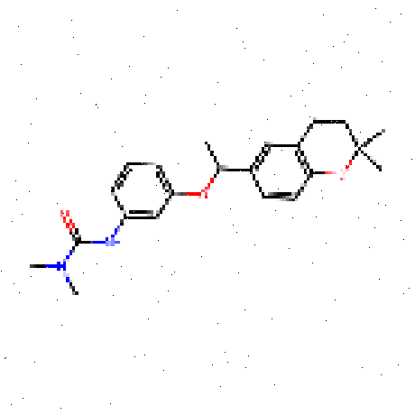 CC(Oc1cccc(NC(=O)N(C)C)c1)c1ccc2c(c1)CCC(C)(C)O2